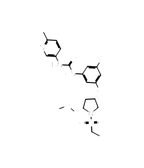 CCS(=O)(=O)N1C[C@@H](Oc2cc(F)cc(NC(=O)Nc3ccc(C)nc3)c2)C[C@H]1COC